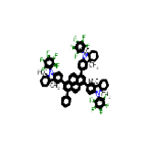 CC12CCCCC1(C)N(c1c(F)c(F)c(F)c(F)c1F)c1ccc(-c3cc(-c4ccccc4)c4ccc5c(-c6ccc7c(c6)C6(C)CCCCC6(C)N7c6c(F)c(F)c(F)c(F)c6F)cc(-c6ccc7c(c6)C6(C)CCCCC6(C)N7c6c(F)c(F)c(F)c(F)c6F)c6ccc3c4c56)cc12